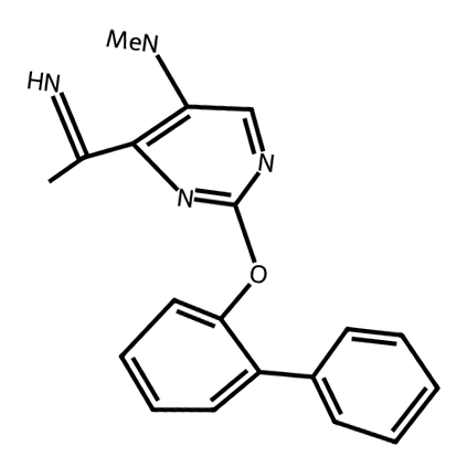 CNc1cnc(Oc2ccccc2-c2ccccc2)nc1C(C)=N